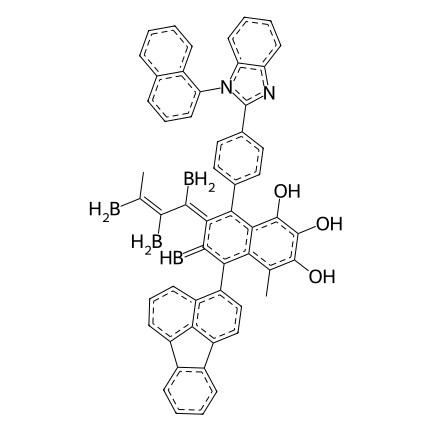 B=c1c(-c2ccc3c4c(cccc24)-c2ccccc2-3)c2c(C)c(O)c(O)c(O)c2c(-c2ccc(-c3nc4ccccc4n3-c3cccc4ccccc34)cc2)/c1=C(B)/C(B)=C(/B)C